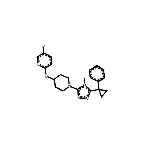 Cn1c(N2CCC(Oc3ccc(Cl)cn3)CC2)nnc1C1(c2ccccc2)CC1